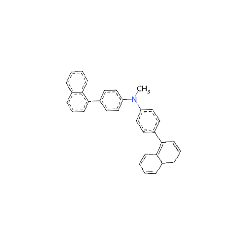 CN(c1ccc(C2=C3C=CC=CC3CC=C2)cc1)c1ccc(-c2cccc3ccccc23)cc1